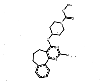 CC(C)(C)OC(=O)N1CCC(Oc2nc(N)nc3c2CCCc2ccccc2-3)CC1